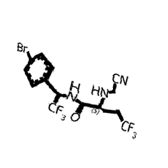 N#CCN[C@@H](CCC(F)(F)F)C(=O)NC(c1ccc(Br)cc1)C(F)(F)F